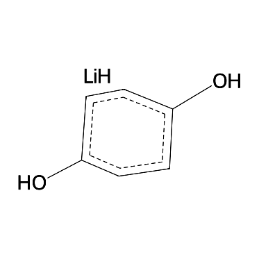 Oc1ccc(O)cc1.[LiH]